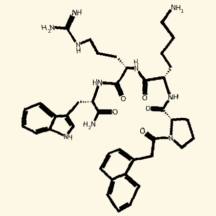 N=C(N)NCCC[C@H](NC(=O)[C@H](CCCCN)NC(=O)[C@@H]1CCCN1C(=O)Cc1cccc2ccccc12)C(=O)N[C@@H](Cc1c[nH]c2ccccc12)C(N)=O